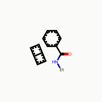 CCNC(=O)c1ccccc1.c1cc2ccc1-2